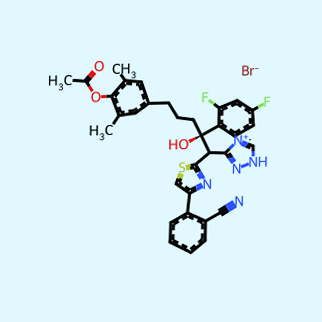 CC(=O)Oc1c(C)cc(CCC[C@](O)(c2ccc(F)cc2F)C(C2=NNC=[N+]2)c2nc(-c3ccccc3C#N)cs2)cc1C.[Br-]